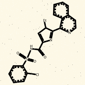 CCC1C=C(C(=O)NS(=O)(=O)c2ccccc2Cl)N=C1c1nccc2ccccc12